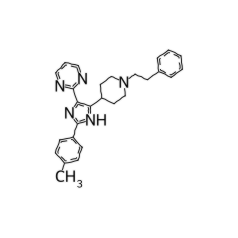 Cc1ccc(-c2nc(-c3ncccn3)c(C3CCN(CCc4ccccc4)CC3)[nH]2)cc1